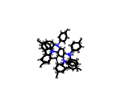 Cc1ccc(N(c2ccc(C)cc2)c2cc(N(c3ccc(C)cc3)c3ccc(C)cc3)c3c4c2-n2c5ccc(C)cc5c5cc(C)cc(c52)C4c2cc(C)cc4c5cc(C)ccc5n-3c24)cc1